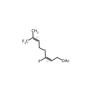 CC(=O)OC/C=C(/F)SC/C=C(/C)C(F)(F)F